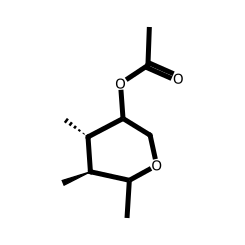 CC(=O)OC1COC(C)[C@@H](C)[C@@H]1C